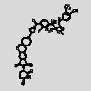 CC1(C)C(=O)[SH](c2ccc(C#N)c(C(F)(F)F)c2)NN1c1ccc(C(=O)N2CC(N3CCC4(CC3)COc3cc5c(cc3C4)C(=O)N(C3CCC(=O)NC3=O)C5=O)C2)c(F)c1